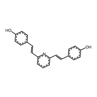 Oc1ccc(/C=C/c2cccc(/C=C/c3ccc(O)cc3)n2)cc1